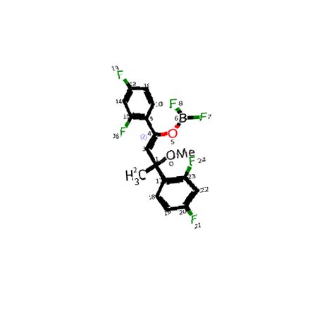 COC(C)(/C=C(\OB(F)F)c1ccc(F)cc1F)c1ccc(F)cc1F